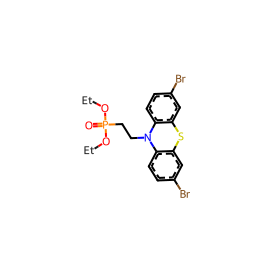 CCOP(=O)(CCN1c2ccc(Br)cc2Sc2cc(Br)ccc21)OCC